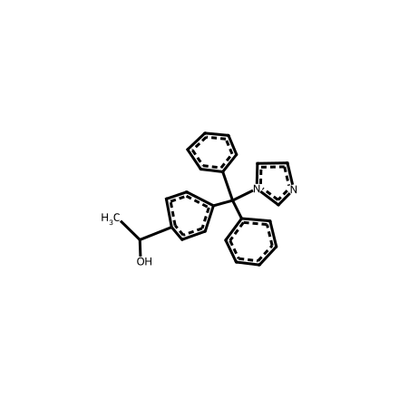 CC(O)c1ccc(C(c2ccccc2)(c2ccccc2)n2ccnc2)cc1